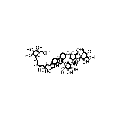 CC1O[C@@H](O[C@@H]2C(CO)O[C@@H](OC3CC[C@@]4(C)C(=CC[C@H]5[C@@H]6CC(O)[C@H]([C@H](C)C(C)(O)CC[C@@H](C)CO[C@@H]7OC(CO)[C@@H](O)C(O)[C@@H]7O)[C@@]6(C)CC[C@@H]54)C3)[C@@H](O[C@@H]3OC(O)[C@H](O)C(O)[C@@H]3O)C2O)[C@@H](O)C(O)[C@H]1O